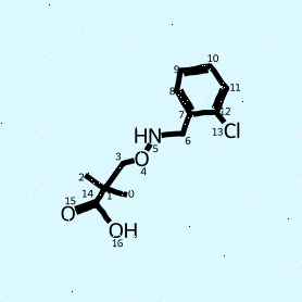 CC(C)(CONCc1ccccc1Cl)C(=O)O